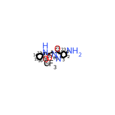 Nc1ccc2ncn(CC(=O)Nc3ccccc3OC(F)(F)F)c(=O)c2c1